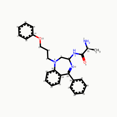 C[C@H](N)C(=O)NC1CN(CCCOc2ccccc2)c2ccccc2C(c2ccccc2)=N1